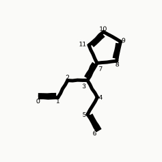 C=CCC(CC=C)=C1C=CC=C1